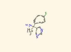 C[C@](N)(c1ccc(F)cc1)c1cncnc1